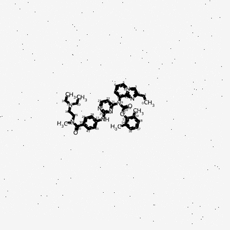 CCc1cn2cccc(N(C(=O)Oc3c(C)cccc3C)c3ccnc(Nc4ccc(C(=O)N(C)CCN(CC)CC)cc4)n3)c2n1